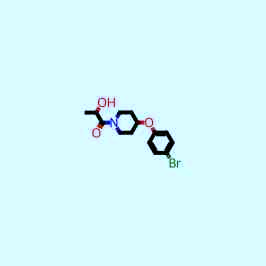 CC(O)C(=O)N1CCC(Oc2ccc(Br)cc2)CC1